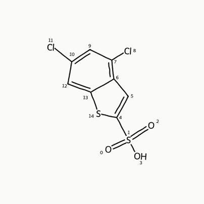 O=S(=O)(O)c1cc2c(Cl)cc(Cl)cc2s1